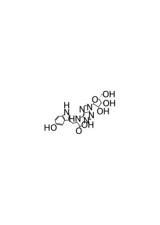 O=C(O)C(Cc1c[nH]c2ccc(O)cc12)Nc1ncnc2c1ncn2[C@@H]1O[C@H](CO)[C@H](O)C1O